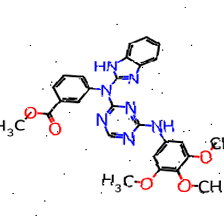 COC(=O)c1cccc(N(c2ncnc(Nc3cc(OC)c(OC)c(OC)c3)n2)c2nc3ccccc3[nH]2)c1